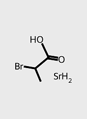 CC(Br)C(=O)O.[SrH2]